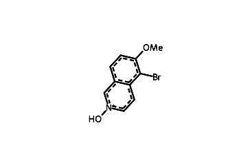 COc1ccc2c[n+](O)ccc2c1Br